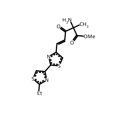 CCc1nc(-c2nc(C=CC(=O)C(C)(N)C(=O)OC)cs2)cs1